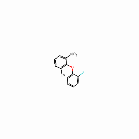 N#Cc1cccc([N+](=O)[O-])c1Oc1ccccc1F